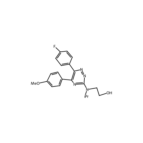 COc1ccc(-c2nc(N(CCO)C(C)C)nnc2-c2ccc(F)cc2)cc1